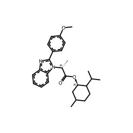 COc1ccc(-c2nc3ccccc3n2[C@H](C)C(=O)O[C@@H]2CC(C)CCC2C(C)C)cc1